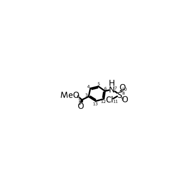 COC(=O)c1ccc(NS(=O)(=O)Cl)cc1